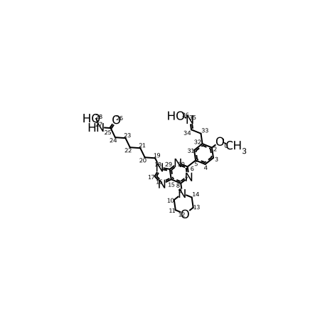 COc1ccc(-c2nc(N3CCOCC3)c3ncn(CCCCCCC(=O)NO)c3n2)cc1CC=NO